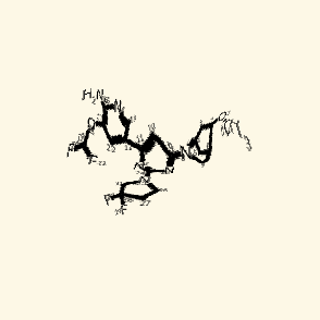 COC1CC2CC1CN2c1cc(-c2cnc(N)c(OC(F)F)c2)nc(N2CCC(F)(F)C2)n1